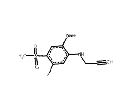 C#CCNc1cc(F)c(S(C)(=O)=O)cc1OC